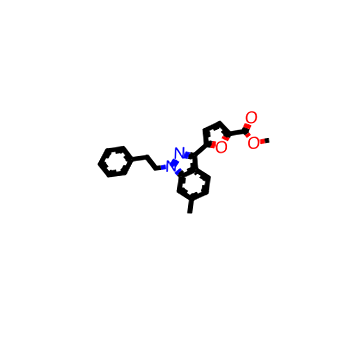 COC(=O)c1ccc(-c2nn(CCc3ccccc3)c3cc(C)ccc23)o1